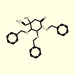 C=CC1(O)CC(=O)[C@H](OCc2ccccc2)C(OCc2ccccc2)C1OCc1ccccc1